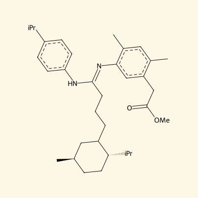 COC(=O)Cc1cc(/N=C(\CCCC2C[C@H](C)CC[C@H]2C(C)C)Nc2ccc(C(C)C)cc2)c(C)cc1C